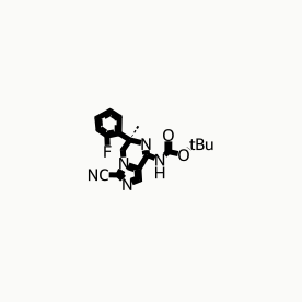 CC(C)(C)OC(=O)NC1=N[C@](C)(c2ccccc2F)Cn2c1cnc2C#N